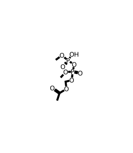 COP(=O)(O)OP(=O)(OC)OCOC(C)=O